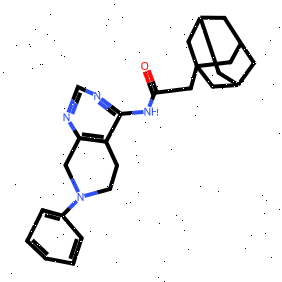 O=C(CC12CC3CC(CC(C3)C1)C2)Nc1ncnc2c1CCN(c1ccccc1)C2